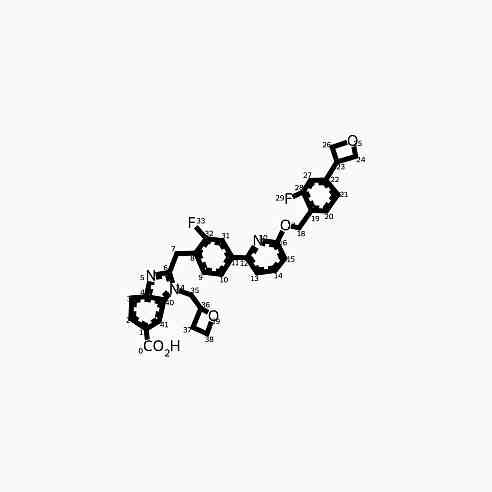 O=C(O)c1ccc2nc(Cc3ccc(-c4cccc(OCc5ccc(C6COC6)cc5F)n4)cc3F)n(CC3CCO3)c2c1